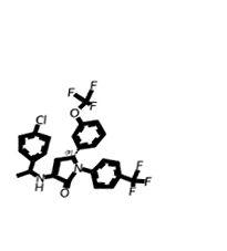 CC(NC1=C[C@H](c2cccc(OC(F)(F)F)c2)N(c2ccc(C(F)(F)F)cc2)C1=O)c1ccc(Cl)cc1